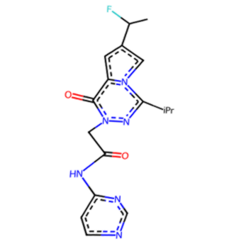 CC(C)c1nn(CC(=O)Nc2ccncn2)c(=O)c2cc(C(C)F)cn12